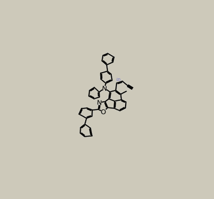 C#C/C=C\c1c(N(c2ccccc2)c2ccc(-c3ccccc3)cc2)c2c3c(cccc3c1C)-c1oc(-c3cccc(-c4ccccc4)c3)nc1-2